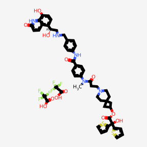 CN(C(=O)CCN1CCC2(CC1)CC(OC(=O)C(O)(c1cccs1)c1cccs1)C2)c1ccc(C(=O)Nc2ccc(CNC[C@H](O)c3ccc(O)c4[nH]c(=O)ccc34)cc2)cc1.O=C(O)C(F)(F)F.O=C(O)C(F)(F)F